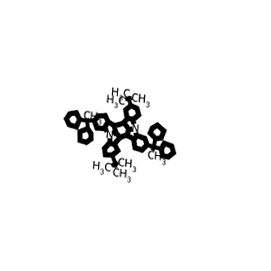 CC(C)(C)c1ccc2c(c1)c1c3c4ccc(C(C)(c5ccccc5)c5ccccc5)cc4n4c5ccc(C(C)(C)C)cc5c(c5c6ccc(C(C)(c7ccccc7)c7ccccc7)cc6n2c15)c34